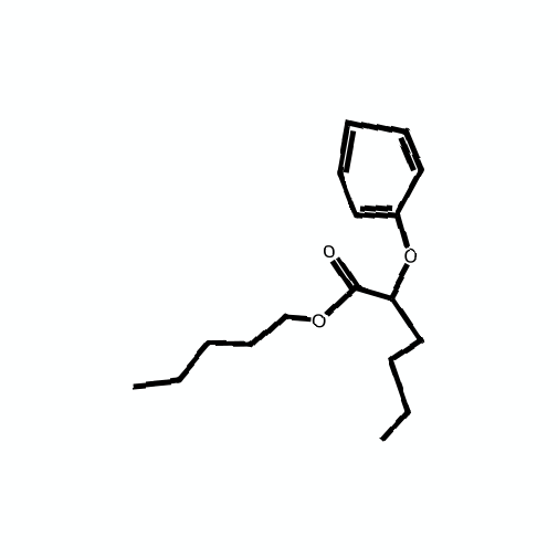 CCCCCOC(=O)C(CCCC)Oc1ccccc1